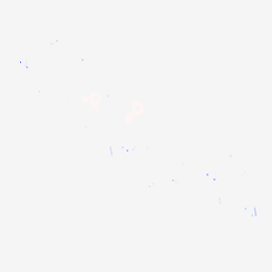 CNC1CCN(c2ccc(NC(=O)c3ccc(-c4cccnc4)o3)cc2)C1